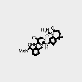 CNC(=O)c1cccc(F)c1Nc1nc(Nc2ccc3c(c2)N(C(N)=O)C(=O)[C]CC3(C)C)ncc1Cl